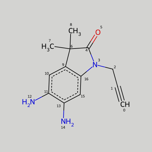 C#CCN1C(=O)C(C)(C)c2cc(N)c(N)cc21